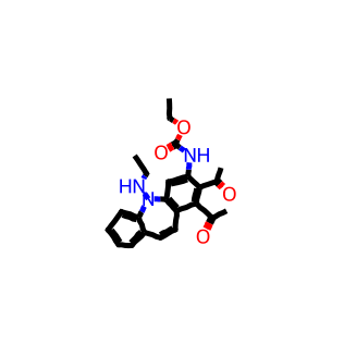 CCNN1c2ccccc2C=Cc2c1cc(NC(=O)OCC)c(C(C)=O)c2C(C)=O